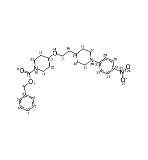 O=C(OCc1ccccc1)N1CCC(OCCC2CCN(c3ccc([N+](=O)[O-])cc3)CC2)CC1